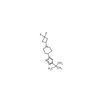 CC(C)(C)c1cn(C2CCN(C3CC(F)(F)C3)CC2)nn1